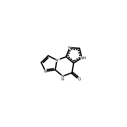 O=C1NC2=NC=C[N+]2c2nc[nH]c21